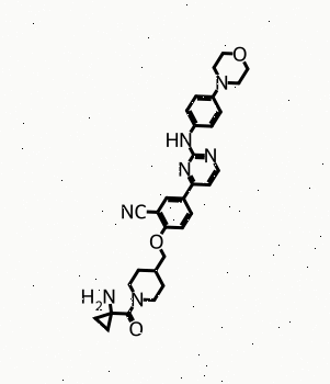 N#Cc1cc(-c2ccnc(Nc3ccc(N4CCOCC4)cc3)n2)ccc1OCC1CCN(C(=O)C2(N)CC2)CC1